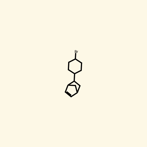 BrC1CCC(C2CC3C=CC2C3)CC1